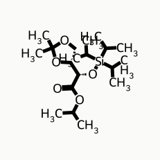 CC(C)OC(=O)[C@@H](O[Si](C(C)C)(C(C)C)C(C)C)[C@H]1COC(C)(C)O1